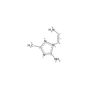 Cc1nc(N)n(/C=C\N)n1